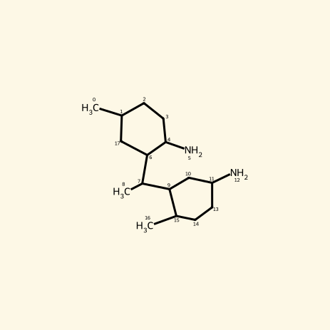 CC1CCC(N)C(C(C)C2CC(N)CCC2C)C1